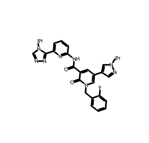 CC(C)n1cc(-c2cc(C(=O)Nc3cccc(-c4nncn4C(C)C)n3)c(=O)n(Cc3ccccc3F)c2)cn1